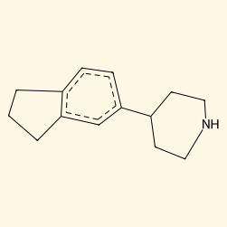 c1cc2c(cc1C1CCNCC1)CCC2